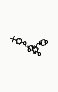 CC(C)(C)c1ccc(OC[C@@H]2Cn3c(CN4CCOCC4)cc(=O)nc3O2)cc1